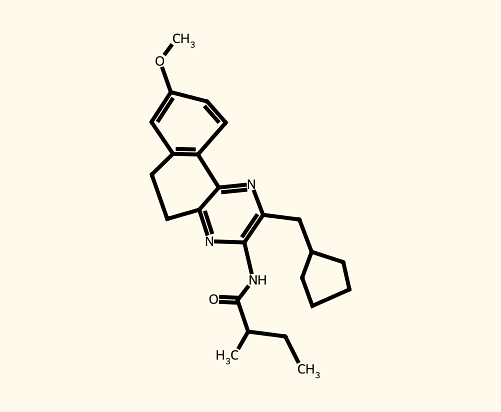 CCC(C)C(=O)Nc1nc2c(nc1CC1CCCC1)-c1ccc(OC)cc1CC2